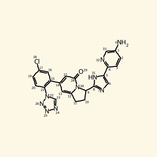 Nc1ccc(-c2cnc(C3CCc4cc(-c5cc(Cl)ccc5-n5cnnn5)cc(=O)n43)[nH]2)nc1